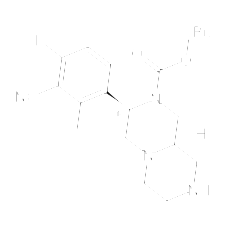 Cc1c([C@@H]2CN3CCNC[C@@H]3CN2C(=O)OC(C)(C)C)ccc(F)c1C#N